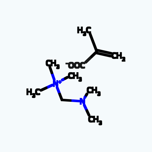 C=C(C)C(=O)[O-].CN(C)C[N+](C)(C)C